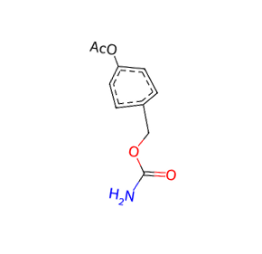 CC(=O)Oc1ccc(COC(N)=O)cc1